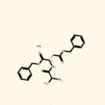 CC(N)C(=O)N[C@@H](CC(=O)OCc1ccccc1)C(=O)OCc1ccccc1.Cl